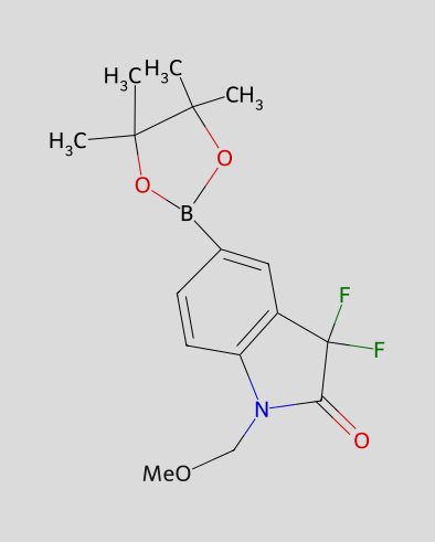 COCN1C(=O)C(F)(F)c2cc(B3OC(C)(C)C(C)(C)O3)ccc21